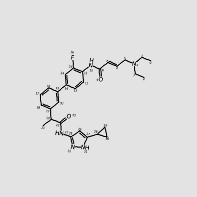 CCN(CC)CC=CC(=O)Nc1ccc(-c2cccc(C(C)C(=O)Nc3cc(C4CC4)[nH]n3)c2)cc1F